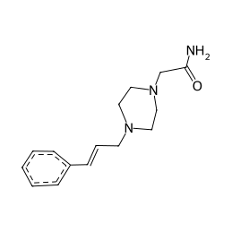 NC(=O)CN1CCN(C/C=C/c2ccccc2)CC1